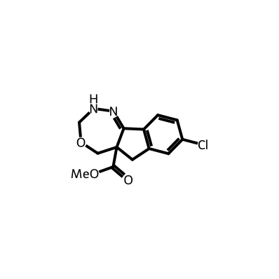 COC(=O)C12COCNN=C1c1ccc(Cl)cc1C2